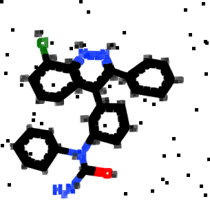 NC(=O)N(c1ccccc1)c1cccc(-c2c(-c3ccccc3)nnc3c(Cl)cccc23)c1